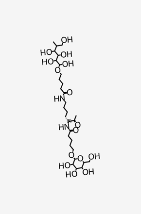 CC(=O)[C@@H](CCCCNC(=O)CCCCOC(O)C(O)C(O)C(O)C(C)CO)NC(=O)CCCCOC1OC(CO)C(O)C(O)C1O